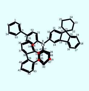 c1ccc(-c2ccc(N(c3ccc4c(c3)-c3ccccc3C43CCCCC3)c3ccccc3-c3ccccc3-c3ccccc3-c3ccccc3)cc2)cc1